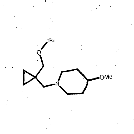 COC1CCN(CC2(COC(C)(C)C)CC2)CC1